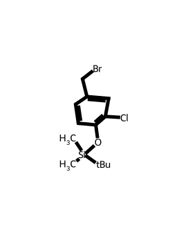 CC(C)(C)[Si](C)(C)Oc1ccc(CBr)cc1Cl